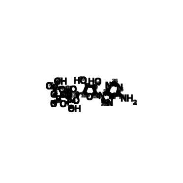 COC(OP(=O)(O)OP(=O)(O)OP(=O)(O)O)[C@H]1O[C@@H](n2cnc3c(N)ncnc32)[C@H](O)[C@@H]1O